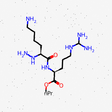 CCCOC(=O)[C@H](CCCNC(N)N)NC(=O)[C@H](CCCCN)NN